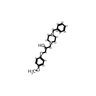 COc1ccc(OCC(O)CN2CCN(Cc3ccccc3)CC2)cc1